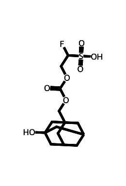 O=C(OCC(F)S(=O)(=O)O)OCC12CC3CC(CC(O)(C3)C1)C2